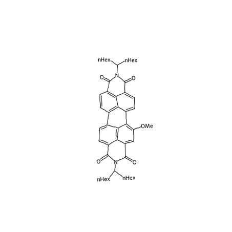 CCCCCCC(CCCCCC)N1C(=O)c2ccc3c4ccc5c6c(cc(OC)c(c7ccc(c2c37)C1=O)c64)C(=O)N(C(CCCCCC)CCCCCC)C5=O